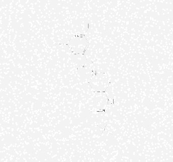 CC(C)(C)OC(=O)NC1CCN(S(=O)(=O)c2cc(F)cc(F)c2)CC1